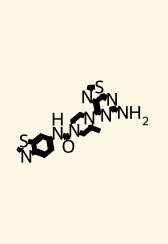 CC1CN(C(=O)Nc2ccc3ncsc3c2)CCN1c1nc(N)nc2scnc12